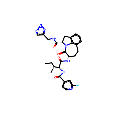 CC[C@H](C)[C@H](NC(=O)c1ccnc(F)c1)C(=O)N[C@H]1CCc2cccc3c2N(C1=O)[C@H](C(=O)NCc1c[nH]nn1)C3